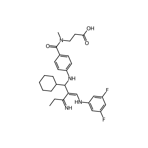 CCC(=N)/C(=C\Nc1cc(F)cc(F)c1)C(Nc1ccc(C(=O)N(C)CCC(=O)O)cc1)C1CCCCC1